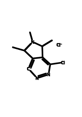 CC1C2=[C+]N=NC(Cl)=C2C(C)N1C.[Cl-]